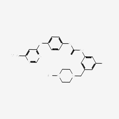 CNc1cc(Oc2ccc(NC(=O)Nc3cc(CN4CCN(C(C)C)CC4)cc(C(F)(F)F)c3)cc2)ncn1